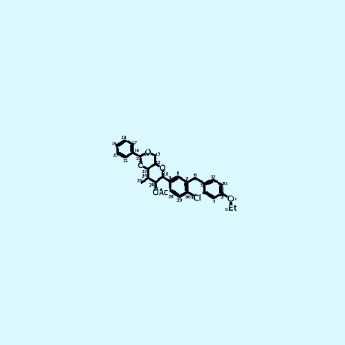 CCOc1ccc(Cc2cc(C3OC4COC(c5ccccc5)OC4C(C)C3OC(C)=O)ccc2Cl)cc1